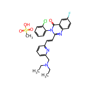 CCN(CC)Cc1cccc(/C=C/c2nc3ccc(F)cc3c(=O)n2-c2ccccc2Cl)n1.CS(=O)(=O)O